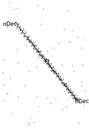 CCCCCCCCCCCCCCCCCCCCCCCCCCCCCCCCCCOCCCCCCCCCCCCCCCCCCCCCCCCCCCCCCCCCC